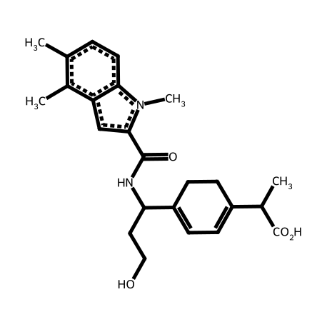 Cc1ccc2c(cc(C(=O)NC(CCO)C3=CC=C(C(C)C(=O)O)CC3)n2C)c1C